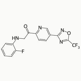 O=C(CNc1ccccc1F)c1ccc(-c2noc(C(F)(F)F)n2)cn1